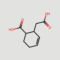 O=C(O)CC1C=CCCC1C(=O)O